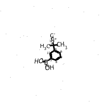 [C-]#[N+]C(C)(C)c1cccc(B(O)O)c1